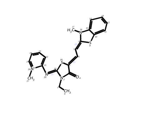 CCN1C(=O)/C(=C/C=C2\Sc3ccccc3N2C)S/C1=N\c1cccc[n+]1C